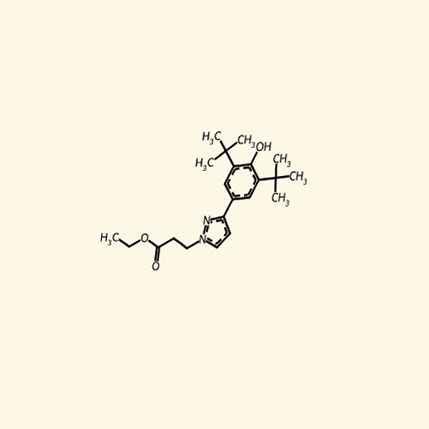 CCOC(=O)CCn1ccc(-c2cc(C(C)(C)C)c(O)c(C(C)(C)C)c2)n1